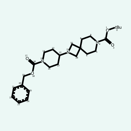 CC(C)(C)OC(=O)N1CCC2(CC1)CN(C1CCN(C(=O)OCc3ccccc3)CC1)C2